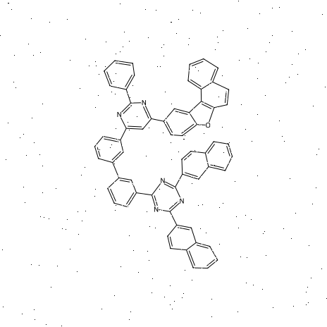 c1ccc(-c2nc(-c3cccc(-c4cccc(-c5nc(-c6ccc7ccccc7c6)nc(-c6ccc7ccccc7c6)n5)c4)c3)cc(-c3ccc4oc5ccc6ccccc6c5c4c3)n2)cc1